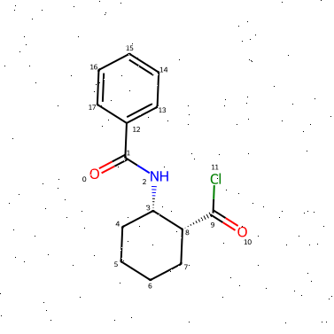 O=C(N[C@H]1CCCC[C@H]1C(=O)Cl)c1ccccc1